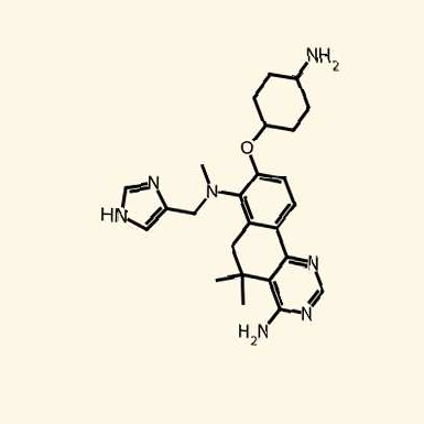 CN(Cc1c[nH]cn1)c1c(OC2CCC(N)CC2)ccc2c1CC(C)(C)c1c(N)ncnc1-2